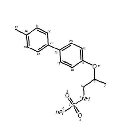 CCCS(=O)(=O)NCC(C)Oc1ccc(-c2ccc(C)cc2)cc1